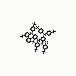 CC(C)(C)c1ccc(N(c2ccc(C(C)(C)C)cc2)c2cc3c4c(c2)N(c2ccc(N(c5ccc(C(C)(C)C)cc5)c5ccc(C(C)(C)C)cc5)c5c2C(C)(C)c2ccccc2-5)c2ccc(C(C)(C)C)cc2B4c2cc(C(C)(C)C)ccc2O3)cc1